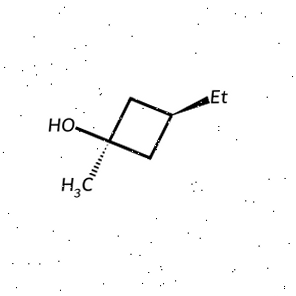 CC[C@H]1C[C@@](C)(O)C1